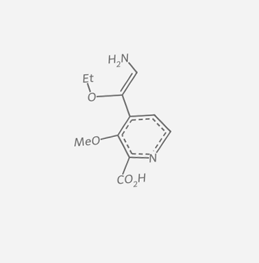 CCOC(=CN)c1ccnc(C(=O)O)c1OC